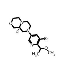 COC(C)c1ncc(N2CCN3CCOC[C@@H]3C2)cc1Br